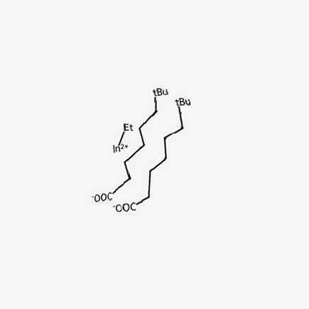 CC(C)(C)CCCCCC(=O)[O-].CC(C)(C)CCCCCC(=O)[O-].C[CH2][In+2]